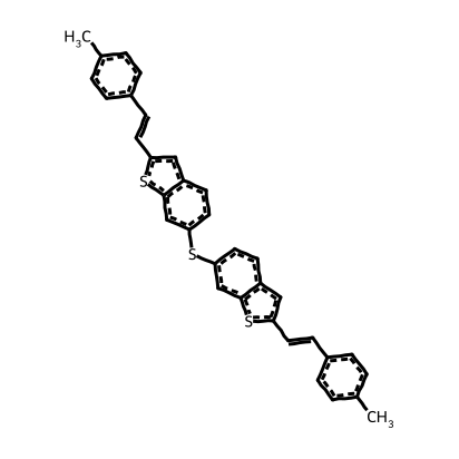 Cc1ccc(/C=C/c2cc3ccc(Sc4ccc5cc(/C=C/c6ccc(C)cc6)sc5c4)cc3s2)cc1